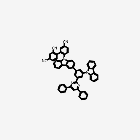 N#Cc1ccc(-c2cc(C#N)ccc2-n2c3ccccc3c3cc(-c4cc(-c5nc(-c6ccccc6)cc(-c6ccccc6)n5)cc(-n5c6ccccc6c6ccccc65)c4)ccc32)c(C#N)c1